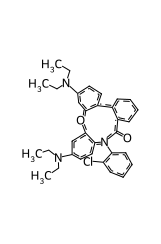 CCN(CC)c1ccc2c(c1)oc1cc(N(CC)CC)ccc1n(-c1ccccc1Cl)c(=O)c1ccccc12